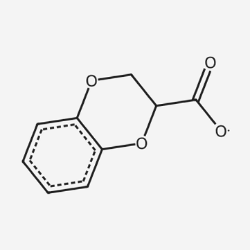 [O]C(=O)C1COc2ccccc2O1